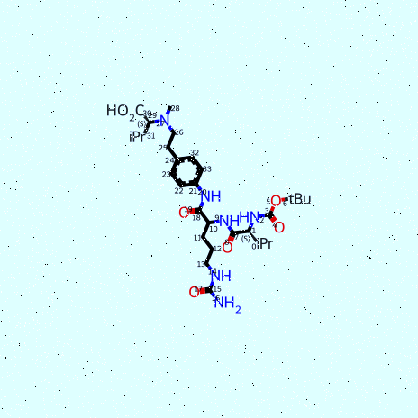 CC(C)[C@H](NC(=O)OC(C)(C)C)C(=O)NC(CCCNC(N)=O)C(=O)Nc1ccc(CCN(C)[C@H](C(=O)O)C(C)C)cc1